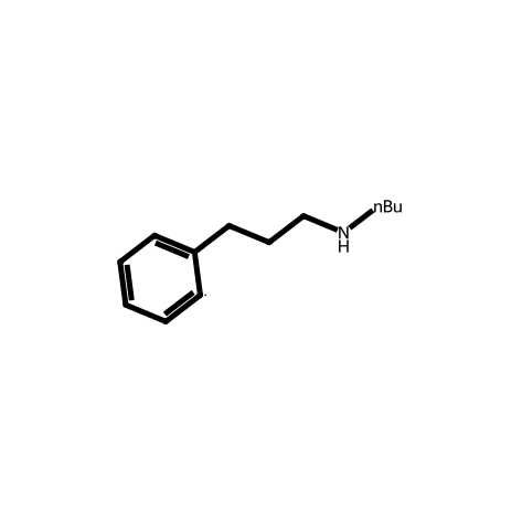 CCCCNCCCc1[c]cccc1